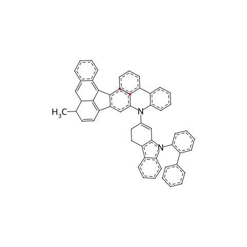 CC1C=CC2=C3C(=c4ccccc4=CC31)c1ccc(N(C3=Cc4c(c5ccccc5n4-c4ccccc4-c4ccccc4)CC3)c3ccccc3-c3ccccc3)cc12